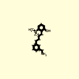 CN(C)c1cccc(O)c1CCCCc1cccc(CN)c1